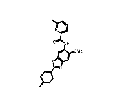 COc1cc2nc(C3CCC(C)CC3)sc2cc1NC(=O)c1cccc(C)n1